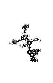 CCOc1cc(N=Nc2ccc3cc(S(=O)(=O)O)cc(S(=O)(=O)O)c3c2)c(OC)cc1Nc1nc(SCCCS(=O)(=O)O)nc(SCCCS(=O)(=O)O)n1